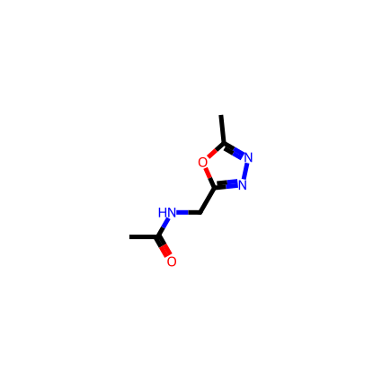 CC(=O)NCc1nnc(C)o1